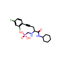 O=C(NC1CCCCC1)C(CC#Cc1ccc(F)cc1F)NCP(=O)(O)O